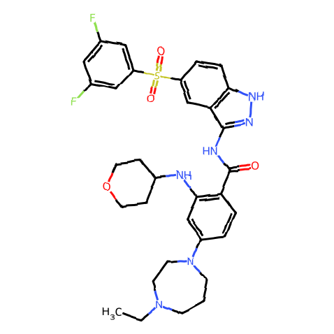 CCN1CCCN(c2ccc(C(=O)Nc3n[nH]c4ccc(S(=O)(=O)c5cc(F)cc(F)c5)cc34)c(NC3CCOCC3)c2)CC1